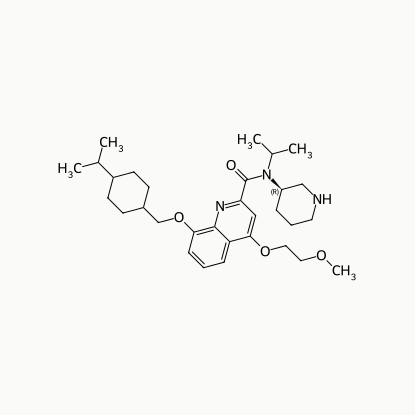 COCCOc1cc(C(=O)N(C(C)C)[C@@H]2CCCNC2)nc2c(OCC3CCC(C(C)C)CC3)cccc12